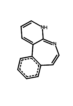 C1=CNC2=NC=Cc3ccccc3C2=C1